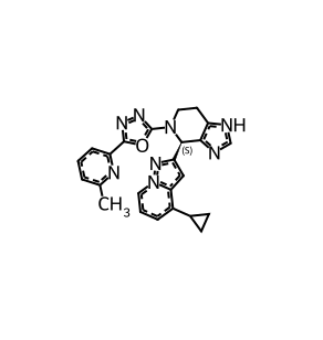 Cc1cccc(-c2nnc(N3CCc4[nH]cnc4[C@H]3c3cc4c(C5CC5)cccn4n3)o2)n1